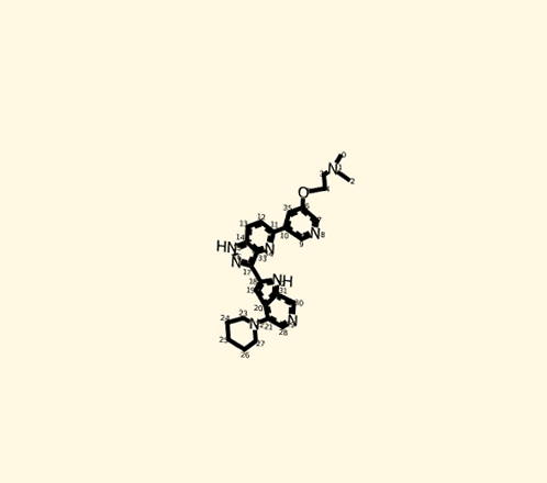 CN(C)CCOc1cncc(-c2ccc3[nH]nc(-c4cc5c(N6CCCCC6)cncc5[nH]4)c3n2)c1